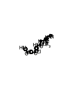 Cn1c(-c2cn(Cc3ccn[nH]3)nc2C(F)(F)F)cnc1C(=O)Nc1ccc(C(=O)N2CCN(C(=O)C3CCNCC3)CC2)c(Cl)c1